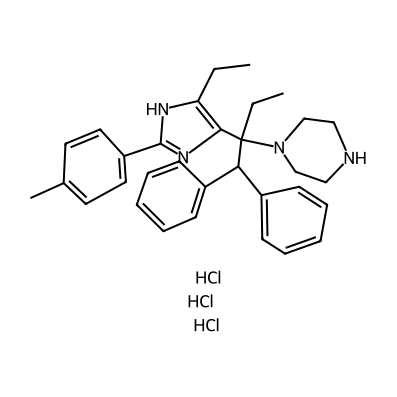 CCc1[nH]c(-c2ccc(C)cc2)nc1C(CC)(C(c1ccccc1)c1ccccc1)N1CCNCC1.Cl.Cl.Cl